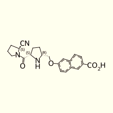 N#C[C@@H]1CCCN1C(=O)[C@@H]1CC[C@H](COc2ccc3cc(C(=O)O)ccc3c2)N1